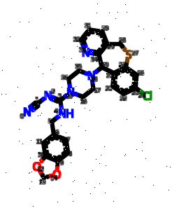 N#C/N=C(\NCc1ccc2c(c1)OCO2)N1CCN(C2c3ccc(Cl)cc3SCc3cccnc32)CC1